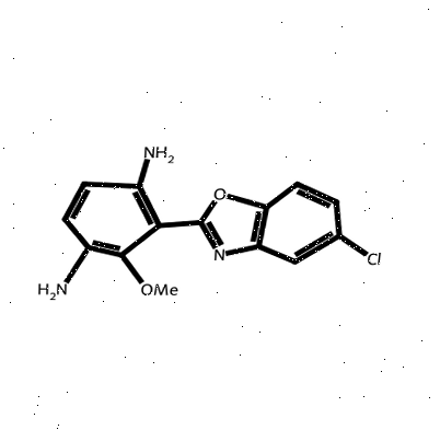 COc1c(N)ccc(N)c1-c1nc2cc(Cl)ccc2o1